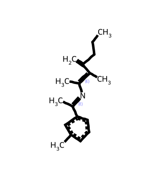 C=C(CCC)/C(C)=C(C)/N=C(\C)c1cccc(C)c1